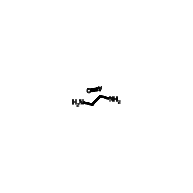 NCCN.[O]=[V]